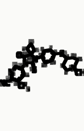 CN1CCC(Sc2ccc(N3C(=S)N(c4cnc(C#N)c(C(F)(F)F)c4)C(=O)C34CCC4)cc2)CC1